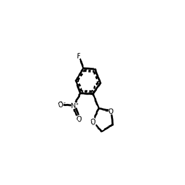 O=[N+]([O-])c1cc(F)ccc1C1OCCO1